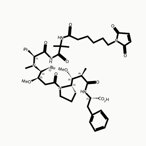 CC[C@H](C)[C@@H]([C@@H](CC(=O)N1CCC[C@H]1[C@H](OC)[C@@H](C)C(=O)N[C@@H](Cc1ccccc1)C(=O)O)OC)N(C)[C@H](C(=O)NC(=O)C(C)(C)NC(=O)CCCCCN1C(=O)C=CC1=O)C(C)C